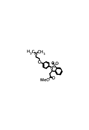 COC(=O)CC1c2ccccc2S(=O)(=O)N1c1ccc(OCCN(C)C)cc1